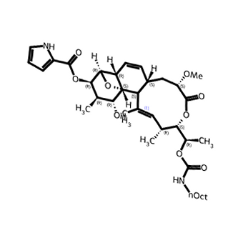 CCCCCCCCNC(=O)O[C@H](C)[C@H]1OC(=O)[C@@H](OC)C[C@H]2C=C[C@H]3[C@H]4O[C@]2(/C(C)=C/[C@H]1C)[C@@H]3[C@H](O)[C@@H](C)[C@H]4OC(=O)c1ccc[nH]1